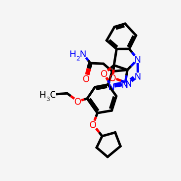 CCOc1cc(C(CC(N)=O)C23N=NOC24ON=NN3c2ccccc24)ccc1OC1CCCC1